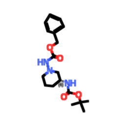 CC(C)(C)OC(=O)N[C@@H]1CCCN(NC(=O)OCc2ccccc2)C1